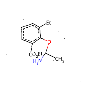 CCOC(=O)c1cccc(CC)c1OC(C)N